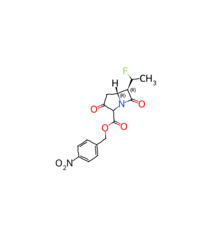 CC(F)[C@H]1C(=O)N2C(C(=O)OCc3ccc([N+](=O)[O-])cc3)C(=O)C[C@H]12